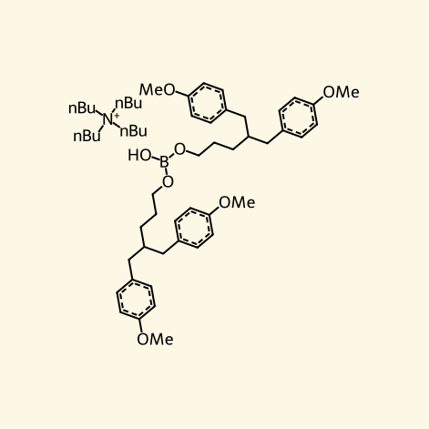 CCCC[N+](CCCC)(CCCC)CCCC.COc1ccc(CC(CCCOB(O)OCCCC(Cc2ccc(OC)cc2)Cc2ccc(OC)cc2)Cc2ccc(OC)cc2)cc1